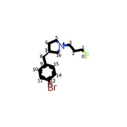 FCCCN1CC[C@H](Cc2ccc(Br)cc2)C1